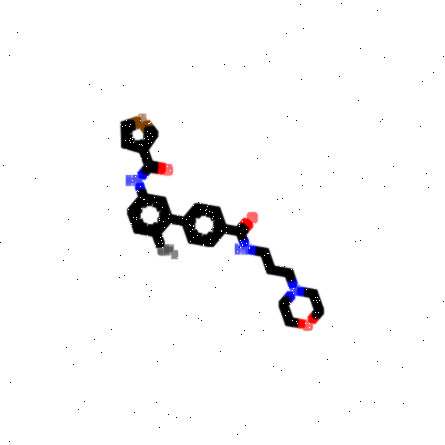 Cc1ccc(NC(=O)c2ccsc2)cc1-c1ccc(C(=O)NCCCN2CCOCC2)cc1